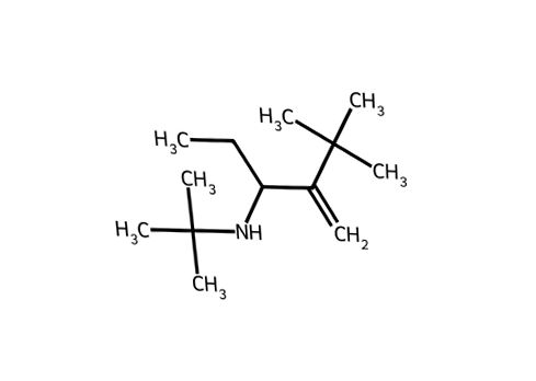 C=C(C(CC)NC(C)(C)C)C(C)(C)C